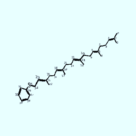 CC(C)=CCC/C(C)=C/CC/C(C)=C/CC/C(C)=C/CC/C(C)=C/CSc1ccccc1